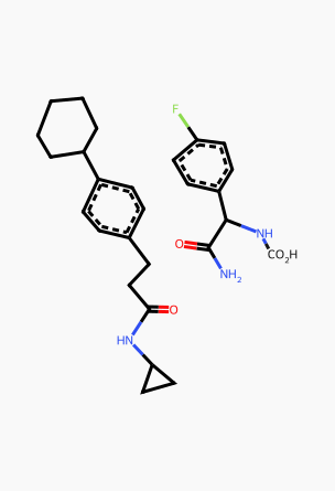 NC(=O)C(NC(=O)O)c1ccc(F)cc1.O=C(CCc1ccc(C2CCCCC2)cc1)NC1CC1